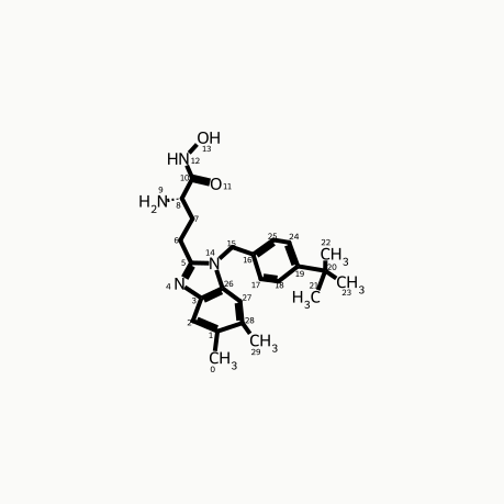 Cc1cc2nc(CC[C@H](N)C(=O)NO)n(Cc3ccc(C(C)(C)C)cc3)c2cc1C